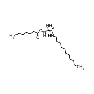 CCCCCCCCCCCNN=C(N)NOC(=O)CCCCCC